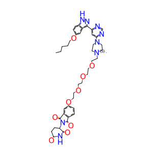 CCCCCOc1ccc2[nH]nc(-c3cc(N4CCN(CCOCCOCCOCCOc5ccc6c(c5)C(=O)N(C5CCC(=O)NC5=O)C6=O)[C@@H](C)C4)ncn3)c2c1